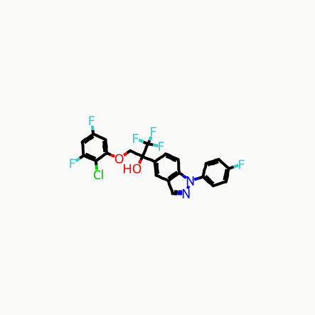 OC(COc1cc(F)cc(F)c1Cl)(c1ccc2c(cnn2-c2ccc(F)cc2)c1)C(F)(F)F